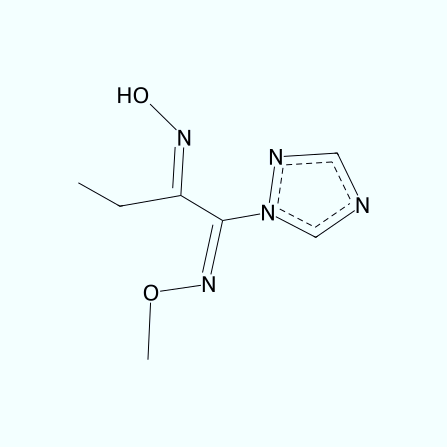 CCC(=NO)C(=NOC)n1cncn1